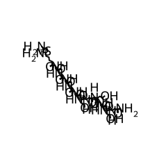 NC(=O)CNC(=O)C(CCO)NC(=O)CNC(=O)C(CCO)NC(=O)CNC(=O)C(CCO)NC(=O)CNC(=O)CNC(=O)CNC(=O)CNC(=O)CNC(=O)CCCCC1SCC(N)[C@H]1N